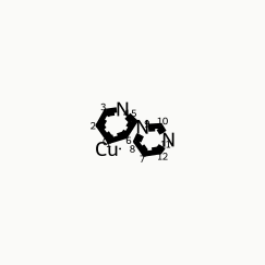 [Cu].c1ccncc1.c1cncnc1